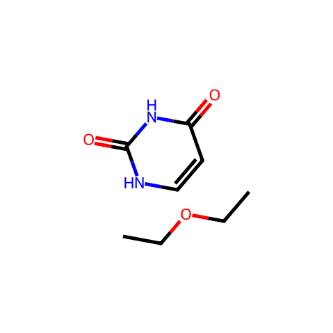 CCOCC.O=c1cc[nH]c(=O)[nH]1